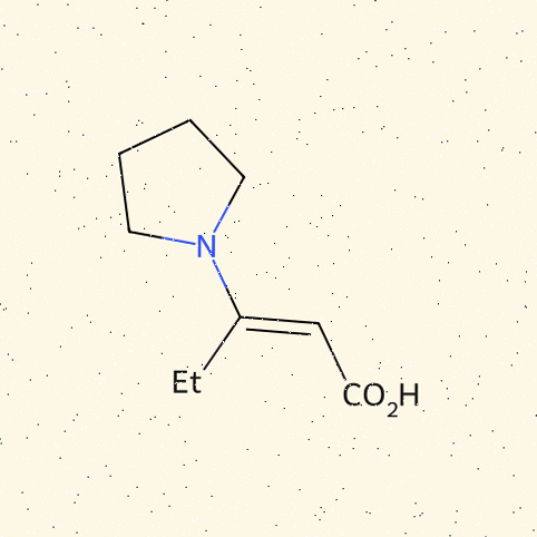 CCC(=CC(=O)O)N1CCCC1